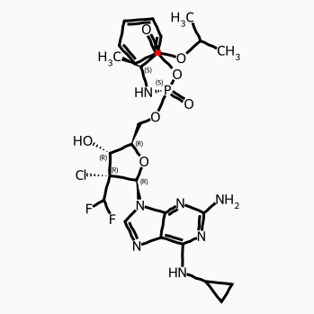 CC(C)OC(=O)[C@H](C)N[P@](=O)(OC[C@H]1O[C@@H](n2cnc3c(NC4CC4)nc(N)nc32)[C@@](Cl)(C(F)F)[C@@H]1O)Oc1ccccc1